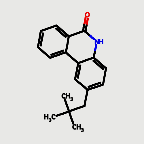 CC(C)(C)Cc1ccc2[nH]c(=O)c3ccccc3c2c1